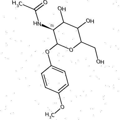 COc1ccc(OC2OC(CO)C(O)C(O)[C@@H]2NC(C)=O)cc1